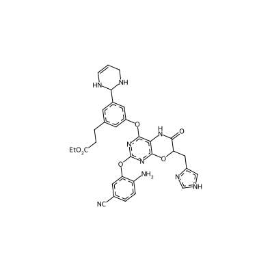 CCOC(=O)CCc1cc(Oc2nc(Oc3cc(C#N)ccc3N)nc3c2NC(=O)C(Cc2c[nH]cn2)O3)cc(C2NC=CCN2)c1